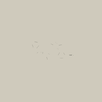 Cc1ccc(F)c(C(=O)N[C@@H](C(=O)N2CCC3(CC2)C(=O)N(C)C(=O)N3c2cccc(C#N)c2)C(C)C)c1